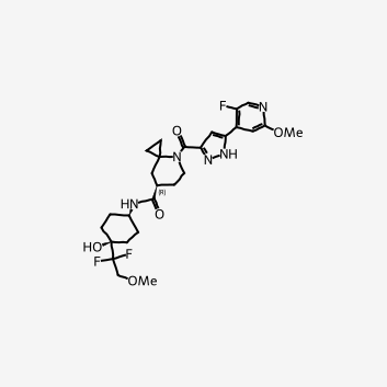 COCC(F)(F)[C@]1(O)CC[C@@H](NC(=O)[C@@H]2CCN(C(=O)c3cc(-c4cc(OC)ncc4F)[nH]n3)C3(CC3)C2)CC1